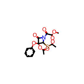 COC(=O)C(=O)N1C(=O)C(OC(C)=O)(Oc2ccccc2)C1SC(C)=O